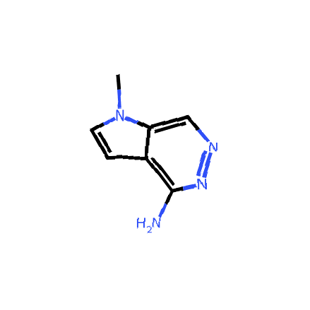 Cn1ccc2c(N)nncc21